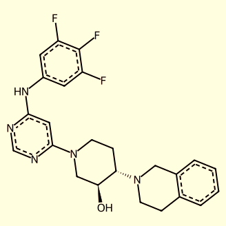 O[C@H]1CN(c2cc(Nc3cc(F)c(F)c(F)c3)ncn2)CC[C@@H]1N1CCc2ccccc2C1